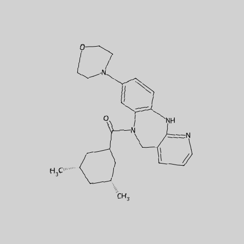 C[C@@H]1CC(C(=O)N2Cc3cccnc3Nc3ccc(N4CCOCC4)cc32)C[C@H](C)C1